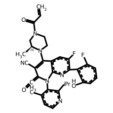 C=CC(=O)N1CCN(C2=C(C#N)C(=C=O)N(c3c(C)ccnc3C(C)C)c3nc(-c4c(O)cccc4F)c(F)cc32)[C@@H](C)C1